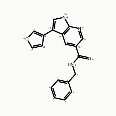 O=C(NCc1ccccc1)c1cnc2[nH]cc(-c3ccoc3)c2c1